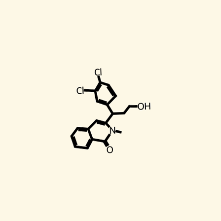 Cn1c(C(CCO)c2ccc(Cl)c(Cl)c2)cc2ccccc2c1=O